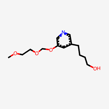 COCCOCOc1cncc(CCCCO)c1